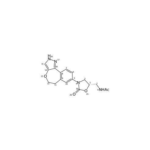 CC(=O)NC[C@H]1CN(c2ccc3c(c2)CCOc2c[nH]nc2-3)C(=O)O1